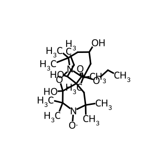 CCOC(=O)C1(C(O)CC)CC(C)(C)N([O])C(C)(C)C1(O)ON1C(C)(C)CC(O)CC1(C)C